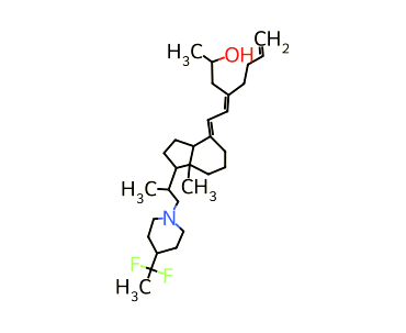 C=CCC/C(=C/C=C1\CCCC2(C)C1CCC2C(C)CN1CCC(C(C)(F)F)CC1)CC(C)O